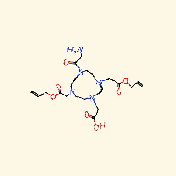 C=CCOC(=O)CN1CCN(CC(=O)O)CCN(CC(=O)OCC=C)CCN(C(=O)CN)CC1